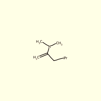 C=C(CC(C)C)N(C)C